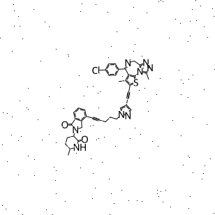 Cc1c(C#Cc2cnn(CCCC#Cc3cccc4c3CN(C3CCC(C)NC3=O)C4=O)c2)sc2c1C(c1ccc(Cl)cc1)=NCc1nnc(C)n1-2